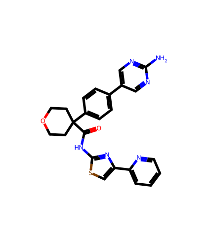 Nc1ncc(-c2ccc(C3(C(=O)Nc4nc(-c5ccccn5)cs4)CCOCC3)cc2)cn1